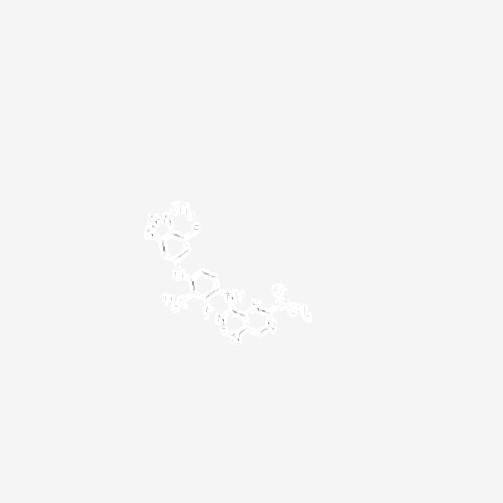 Cc1c(Oc2cc(F)c3c(c2)nnn3C)ccc(Nc2ncnc3cnc([S+](C)[O-])nc23)c1F